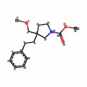 CCOCC1(CCc2ccccc2)CCN(C(=O)OC(C)(C)C)C1